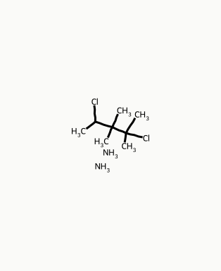 CC(Cl)C(C)(C)C(C)(C)Cl.N.N